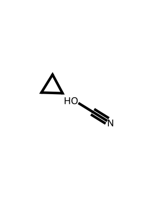 C1CC1.N#CO